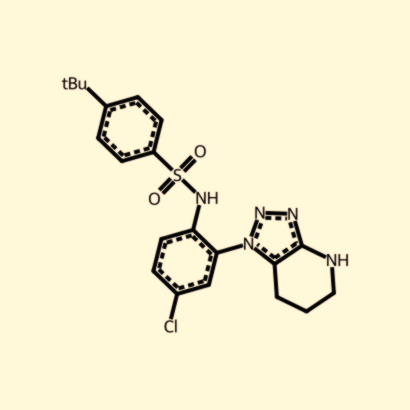 CC(C)(C)c1ccc(S(=O)(=O)Nc2ccc(Cl)cc2-n2nnc3c2CCCN3)cc1